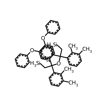 Cc1cccc(C(C[SiH3])(OC(C[SiH3])(c2ccc(Oc3ccccc3)cn2)c2cccc(C)c2C)c2ccc(Oc3ccccc3)cn2)c1C